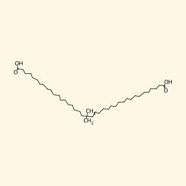 [CH2]C([CH2])(CCCCCCCCCCCCCCCCCCC(=O)O)CCCCCCCCCCCCCCCCCCC(=O)O